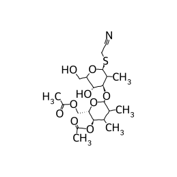 CC(=O)OC[C@@H]1O[C@@H](O[C@@H]2C(C)[C@H](SCC#N)OC(CO)[C@H]2O)C(C)C(C)[C@H]1OC(C)=O